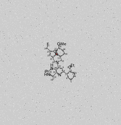 CCOc1ncccc1-c1cc(N(Cc2ccc(OC)cc2)Cc2cc(CF)on2)c(NC(C)C)c(C(C)=N)n1